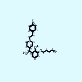 COc1c(OCCCCBr)cccc1C(O)C1CCN(CCc2ccc(F)cc2)CC1